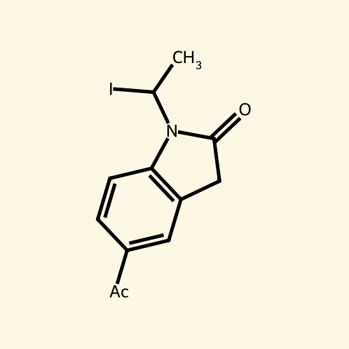 CC(=O)c1ccc2c(c1)CC(=O)N2C(C)I